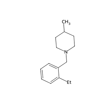 CCc1ccccc1CN1CCC(C)CC1